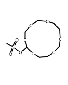 CS(=O)(=O)OC1CCCCCCCCCCCCC1